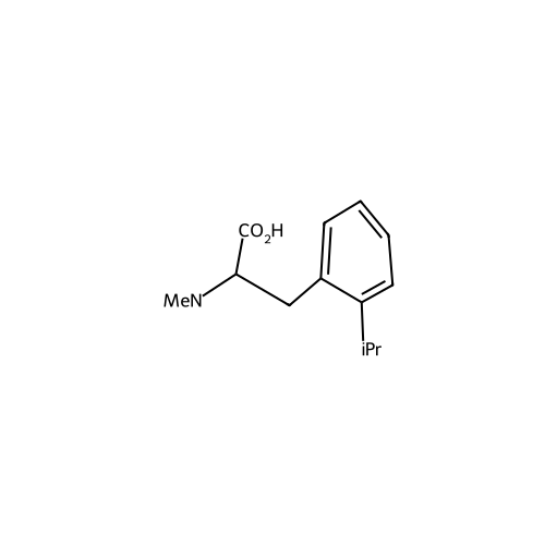 CNC(Cc1ccccc1C(C)C)C(=O)O